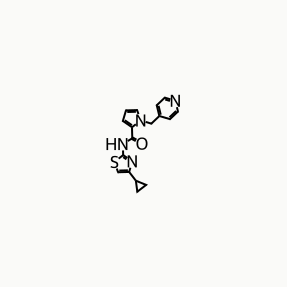 O=C(Nc1nc(C2CC2)cs1)c1cccn1Cc1ccncc1